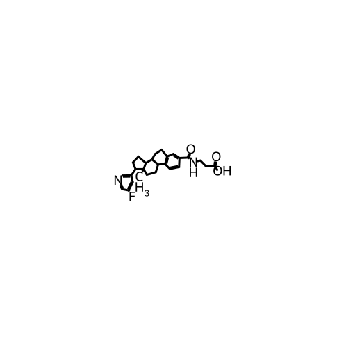 CC12CCC3c4ccc(C(=O)NCCC(=O)O)cc4CCC3C1CCC2c1cncc(F)c1